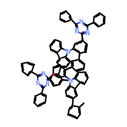 Cc1ccccc1-c1ccc2c(c1)c1ccccc1n2-c1cc(-c2nc(-c3ccccc3)nc(-c3ccccc3)n2)ccc1-c1cccc(-c2ccc(-c3nc(-c4ccccc4)nc(-c4ccccc4)n3)cc2-n2c3ccccc3c3cc(-c4ccccc4C)ccc32)c1